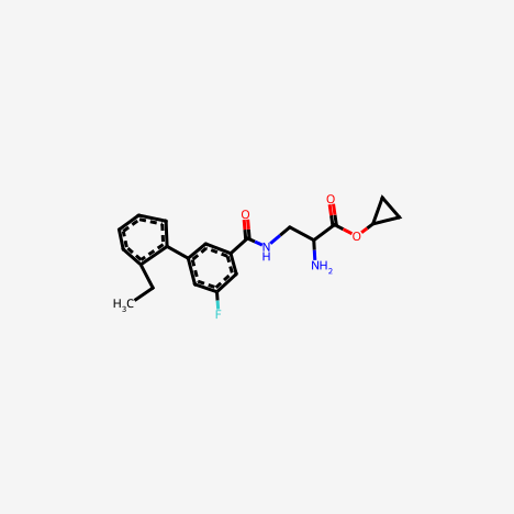 CCc1ccccc1-c1cc(F)cc(C(=O)NCC(N)C(=O)OC2CC2)c1